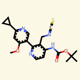 COc1cc(C2CC2)ncc1-c1nccc(NC(=O)OC(C)(C)C)c1CN=C=S